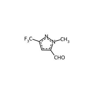 Cn1nc(C(F)(F)F)cc1C=O